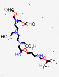 C=C(C)OCNCCCOC(=N)CN(CCN(CCN(COC=O)COC=O)CC(=O)O)CC(=O)O